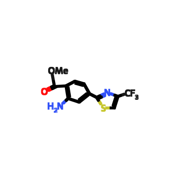 COC(=O)c1ccc(-c2nc(C(F)(F)F)cs2)cc1N